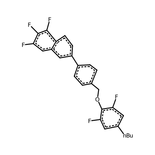 CCCCc1cc(F)c(OCc2ccc(-c3ccc4c(F)c(F)c(F)cc4c3)cc2)c(F)c1